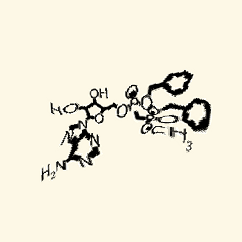 COP(=O)(CP(=O)(OCc1ccccc1)OCC1OC(n2cnc3c(N)ncnc32)C(O)C1O)OCc1ccccc1